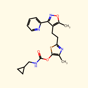 Cc1nc(CCc2c(-c3ccccn3)noc2C)sc1OC(=O)NCC1CC1